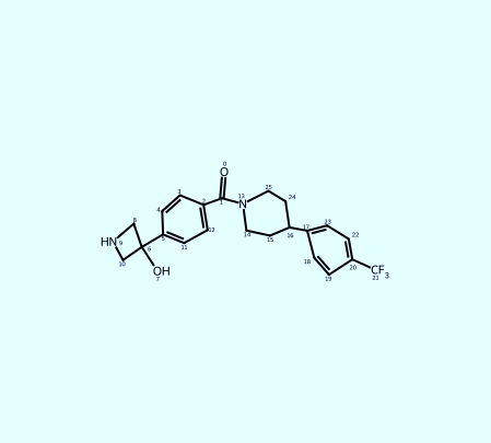 O=C(c1ccc(C2(O)CNC2)cc1)N1CCC(c2ccc(C(F)(F)F)cc2)CC1